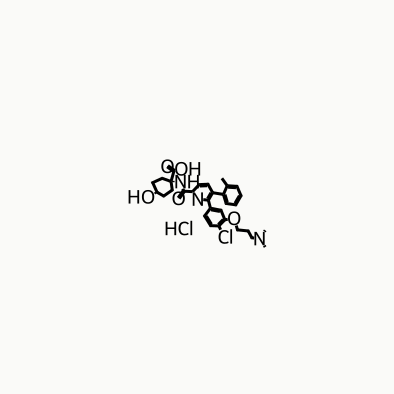 Cc1ccccc1-c1ccc(C(=O)N[C@]2(C(=O)O)CC[C@@H](O)CC2)nc1-c1ccc(Cl)c(OCCCN(C)C)c1.Cl